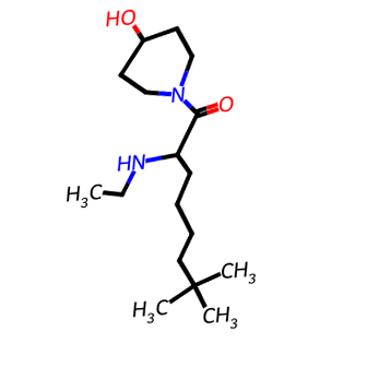 CCNC(CCCCC(C)(C)C)C(=O)N1CCC(O)CC1